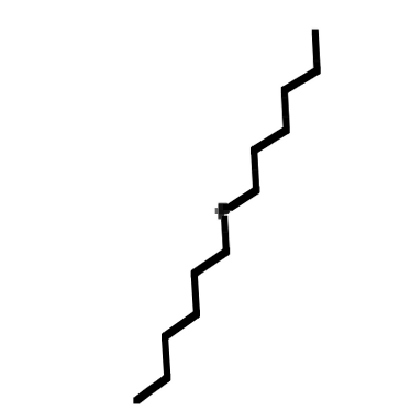 CCCCCC[P]CCCCCC